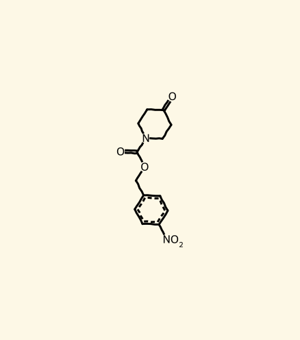 O=C1CCN(C(=O)OCc2ccc([N+](=O)[O-])cc2)CC1